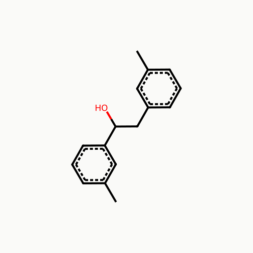 Cc1cccc(CC(O)c2cccc(C)c2)c1